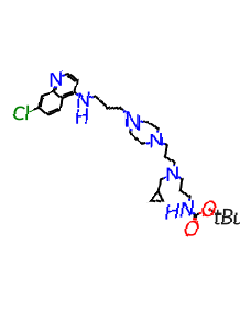 CC(C)(C)OC(=O)NCCCN(CCCN1CCN(CCCNc2ccnc3cc(Cl)ccc23)CC1)CC1CC1